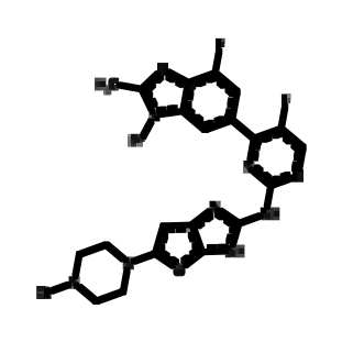 CCN1CCN(c2cc3nc(Nc4ncc(F)c(-c5cc(F)c6nc(C)n(C(C)C)c6c5)n4)[nH]c3o2)CC1